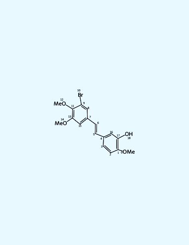 COc1ccc(/C=C/c2cc(Br)c(OC)c(OC)c2)cc1O